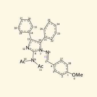 COc1ccc(/C=N/n2c(N(C(C)=O)C(C)=O)nc(-c3ccccc3)c2-c2ccccc2)cc1